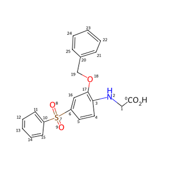 O=C(O)CNc1ccc(S(=O)(=O)c2ccccc2)cc1OCc1ccccc1